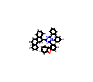 c1ccc(-c2ccccc2-c2nc(-c3cc4c5ccccc5ccc4c4ccccc34)nc(-c3cccc4oc5ccccc5c34)n2)cc1